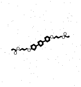 C=CC(=O)OC/C=C/COc1ccc(-c2ccc(-c3ccc(OC/C=C/COC(=O)C=C)cc3)cc2)cc1